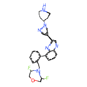 FC1COCC(F)N1Cc1ccccc1-c1cccc2ncc(-c3cnn(C4CCNCC4)c3)nc12